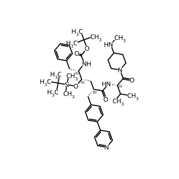 CNC1CCN(C(=O)[C@@H](NC(=O)[C@H](Cc2ccc(-c3ccncc3)cc2)C[C@H](O[Si](C)(C)C(C)(C)C)[C@H](Cc2ccccc2)NC(=O)OC(C)(C)C)C(C)C)CC1